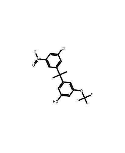 CC(C)(c1cc(O)cc(OC(F)(F)F)c1)c1cc(Cl)cc([N+](=O)[O-])c1